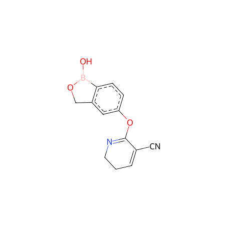 N#CC1=CCCN=C1Oc1ccc2c(c1)COB2O